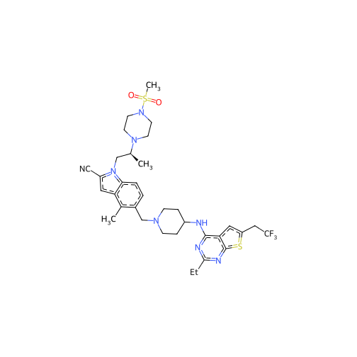 CCc1nc(NC2CCN(Cc3ccc4c(cc(C#N)n4C[C@H](C)N4CCN(S(C)(=O)=O)CC4)c3C)CC2)c2cc(CC(F)(F)F)sc2n1